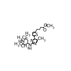 COC(=O)CCCc1ccc(-c2nc(NC3CC(C)(C)NC(C)(C)C3)ncc2C)s1